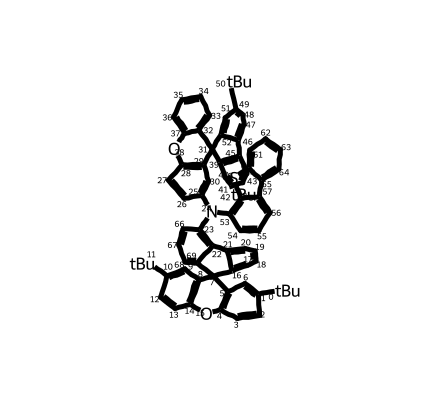 CC(C)(C)c1ccc2c(c1)C1(c3cc(C(C)(C)C)ccc3O2)c2ccccc2-c2c(N(c3ccc4c(c3)C3(c5ccccc5O4)c4cc(C(C)(C)C)ccc4-c4ccc(C(C)(C)C)cc43)c3cccc4c3sc3ccccc34)cccc21